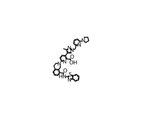 Cc1nn(Cc2cccc(N3CCCC3)n2)cc1-c1ccc(N2CCc3cccc(C(=O)Nc4nc5ccccc5s4)c3C2)nc1C(=O)O